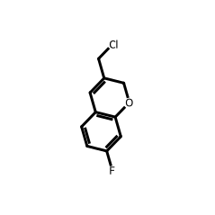 Fc1ccc2c(c1)OCC(CCl)=C2